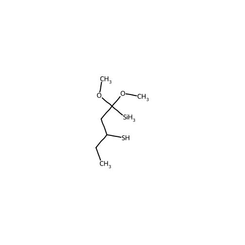 CCC(S)CC([SiH3])(OC)OC